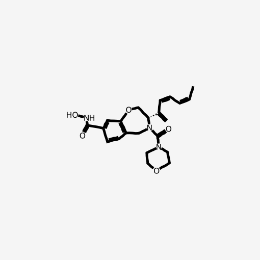 C=C(/C=C\C=C/C)[C@H]1COc2cc(C(=O)NO)ccc2CN1C(=O)N1CCOCC1